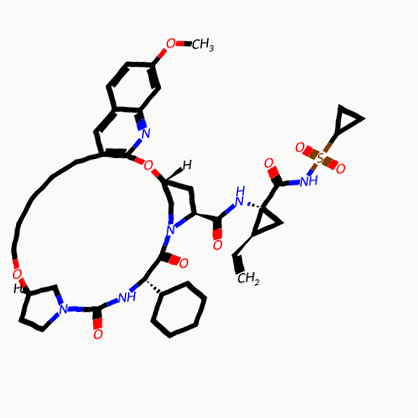 C=C[C@@H]1C[C@]1(NC(=O)[C@@H]1C[C@@H]2CN1C(=O)[C@H](C1CCCCC1)NC(=O)N1CC[C@@H](C1)OCCCCCc1cc3ccc(OC)cc3nc1O2)C(=O)NS(=O)(=O)C1CC1